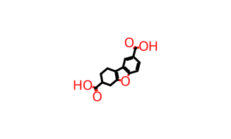 O=C(O)c1ccc2oc3c(c2c1)CCC(C(=O)O)C3